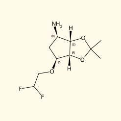 CC1(C)O[C@@H]2[C@H](O1)[C@@H](OCC(F)F)C[C@H]2N